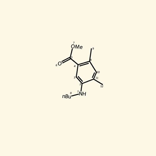 CCCCNc1cc(C(=O)OC)c(C)cc1C